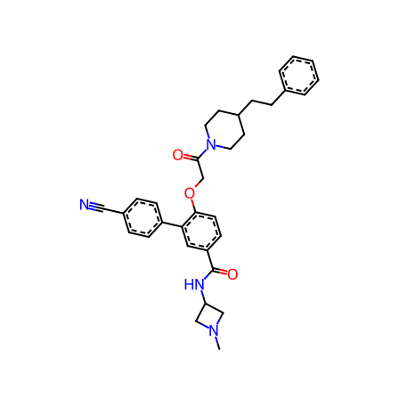 CN1CC(NC(=O)c2ccc(OCC(=O)N3CCC(CCc4ccccc4)CC3)c(-c3ccc(C#N)cc3)c2)C1